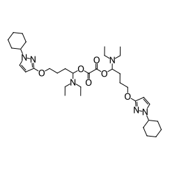 CCN(CC)C(CCCOc1ccn(C2CCCCC2)n1)OC(=O)C(=O)OC(CCCOc1ccn(C2CCCCC2)n1)N(CC)CC